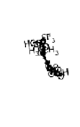 C#CCOc1cc(C(F)(F)F)ccc1NC(=O)C(C)(C)n1cc(C#CC2CN(c3ccc4c(c3)C(=O)N(C3CCC(=O)NC3=O)C4=O)C2)cn1